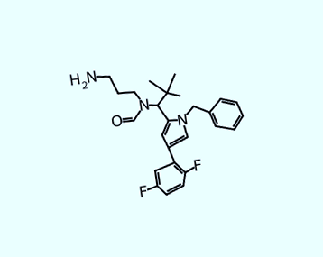 CC(C)(C)C(c1cc(-c2cc(F)ccc2F)cn1Cc1ccccc1)N(C=O)CCCN